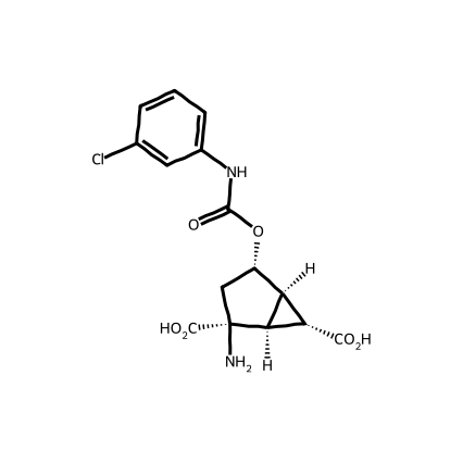 N[C@@]1(C(=O)O)C[C@H](OC(=O)Nc2cccc(Cl)c2)[C@H]2[C@H](C(=O)O)[C@H]21